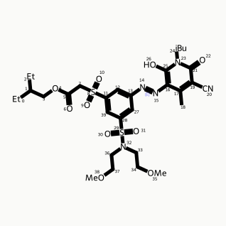 CCC(CC)COC(=O)CS(=O)(=O)c1cc(/N=N/c2c(C)c(C#N)c(=O)n(C(C)CC)c2O)cc(S(=O)(=O)N(CCOC)CCOC)c1